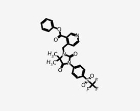 CC1(C)C(=O)N(c2ccc(S(=O)(=O)C(F)(F)F)cc2)C(=O)N1Cc1ccncc1C(=O)Oc1ccccc1